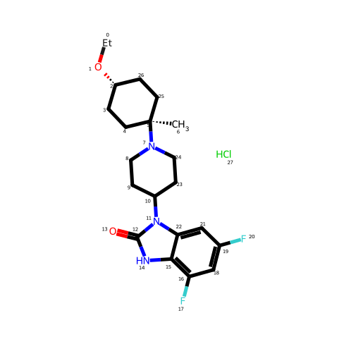 CCO[C@H]1CC[C@](C)(N2CCC(n3c(=O)[nH]c4c(F)cc(F)cc43)CC2)CC1.Cl